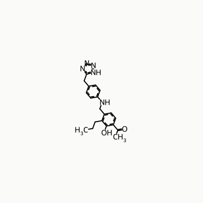 CCCc1c(CNc2ccc(Cc3nnn[nH]3)cc2)ccc(C(C)=O)c1O